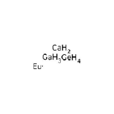 [CaH2].[Eu].[GaH3].[GeH4]